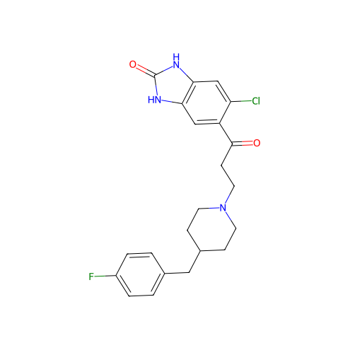 O=C(CCN1CCC(Cc2ccc(F)cc2)CC1)c1cc2[nH]c(=O)[nH]c2cc1Cl